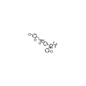 O=C(NCCc1ccc(Cl)cc1Cl)c1ccc(-c2cc(C(F)(F)F)nn2-c2ccccc2Cl)cc1